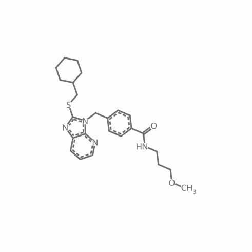 COCCCNC(=O)c1ccc(Cn2c(SCC3CCCCC3)nc3cccnc32)cc1